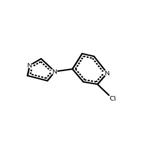 Clc1cc(-n2ccnc2)ccn1